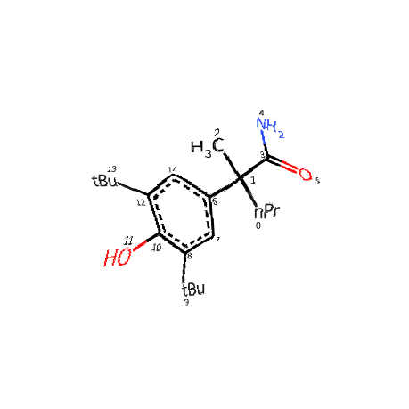 CCCC(C)(C(N)=O)c1cc(C(C)(C)C)c(O)c(C(C)(C)C)c1